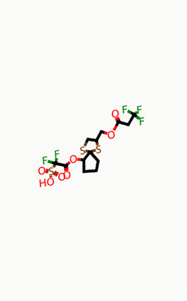 O=C(CC(F)(F)F)OCC1CSC2(CCCC2OC(=O)C(F)(F)S(=O)(=O)O)S1